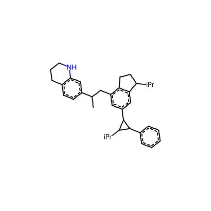 CC(Cc1cc(C2C(c3ccccc3)C2C(C)C)cc2c1CCC2C(C)C)c1ccc2c(c1)NCCC2